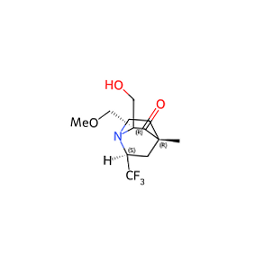 COC[C@]1(CO)C(=O)[C@]2(C)CCN1[C@H](C(F)(F)F)C2